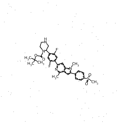 Cc1nc(-c2cc(F)c(C3CNCCN3C(=O)OC(C)(C)C)cc2F)cc2c1cc(-c1ccc(S(C)(=O)=O)cc1)n2C